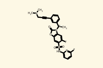 C[C@H](c1cccc(C#CCN(C)C)c1)n1c(=O)oc2cc(S(=O)(=O)Nc3cccc(F)n3)c(F)cc21